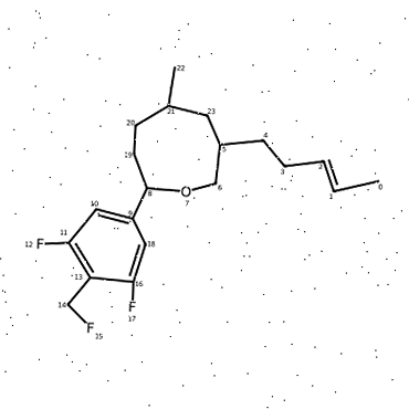 C/C=C/CCC1COC(c2cc(F)c(CF)c(F)c2)CCC(C)C1